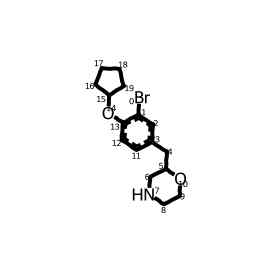 Brc1cc(CC2CNCCO2)ccc1OC1CCCC1